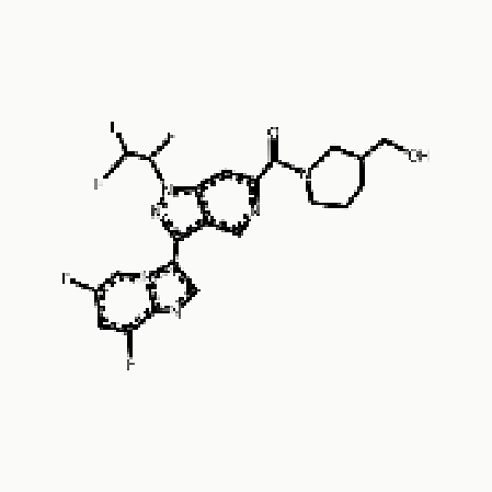 O=C(c1cc2c(cn1)c(-c1cnc3c(F)cc(F)cn13)nn2C(F)C(F)F)N1CCCC(CO)C1